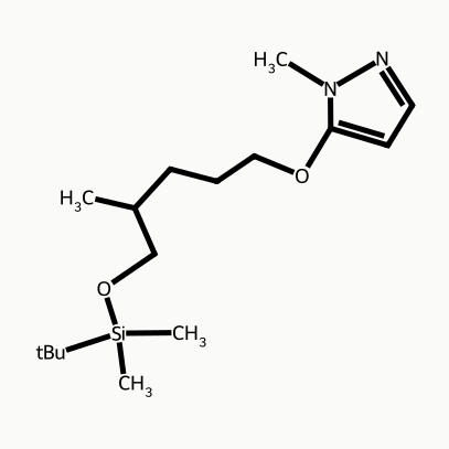 CC(CCCOc1ccnn1C)CO[Si](C)(C)C(C)(C)C